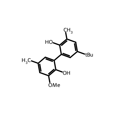 COc1cc(C)cc(-c2cc(C(C)(C)C)cc(C)c2O)c1O